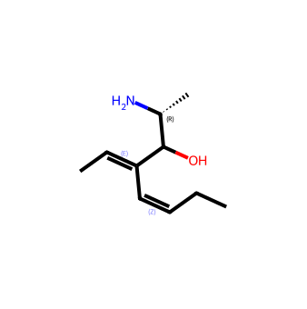 C/C=C(\C=C/CC)C(O)[C@@H](C)N